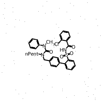 CCCCCN(Cc1ccc(-c2ccccc2S(=O)(=O)NC(=O)c2ccccc2Cl)cc1)C(=O)N(C)c1ccccc1